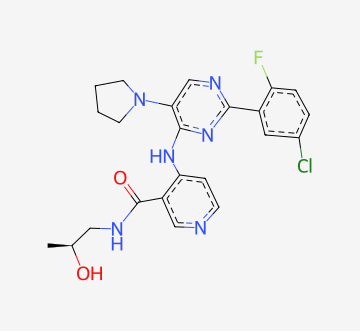 C[C@H](O)CNC(=O)c1cnccc1Nc1nc(-c2cc(Cl)ccc2F)ncc1N1CCCC1